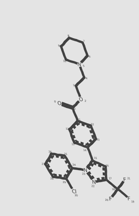 O=C(OCCN1CCCCC1)c1ccc(-c2cc(C(F)(F)F)nn2-c2ccccc2Cl)cc1